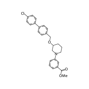 COC(=O)c1cccc(N2CCCC(OCc3ccc(-c4ccc(Cl)cc4)cc3)C2)c1